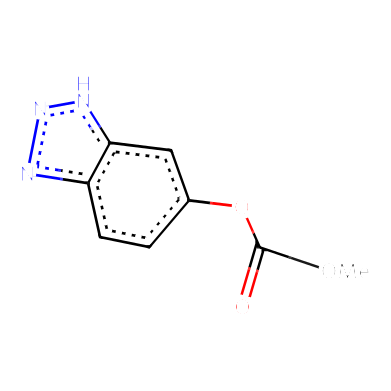 COC(=O)Oc1ccc2nn[nH]c2c1